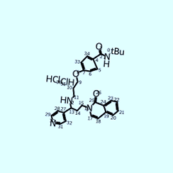 CC(C)(C)NC(=O)c1ccc(OCCCNC(CCn2ccc3ccccc3c2=O)c2ccncc2)cc1.Cl.Cl